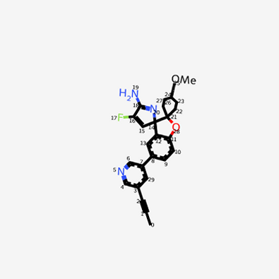 CC#Cc1cncc(-c2ccc3c(c2)C2(C=C(F)C(N)=N2)C2(CCC(OC)CC2)O3)c1